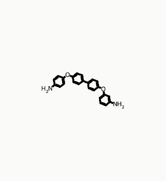 Nc1ccc(Oc2ccc(-c3ccc(Oc4cccc(N)c4)cc3)cc2)cc1